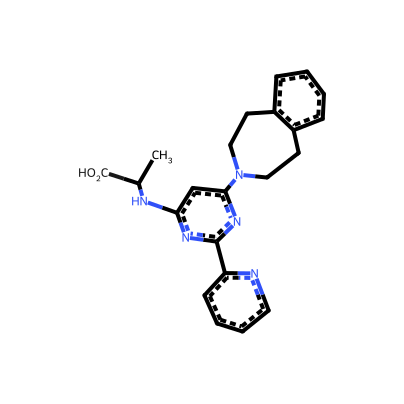 CC(Nc1cc(N2CCc3ccccc3CC2)nc(-c2ccccn2)n1)C(=O)O